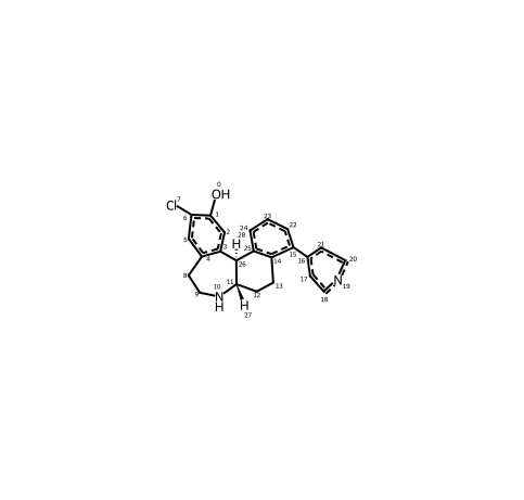 Oc1cc2c(cc1Cl)CCN[C@H]1CCc3c(-c4ccncc4)cccc3[C@H]21